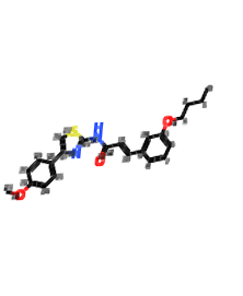 CCCCOc1cccc(C=CC(=O)Nc2nc(-c3ccc(OC)cc3)cs2)c1